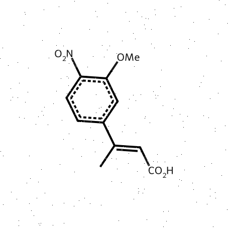 COc1cc(C(C)=CC(=O)O)ccc1[N+](=O)[O-]